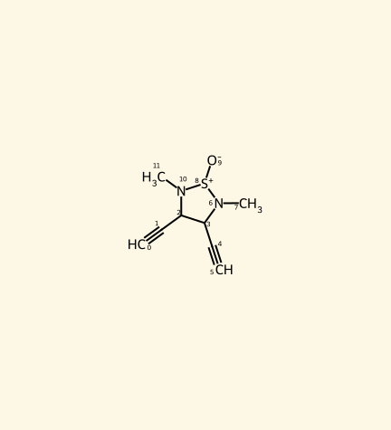 C#CC1C(C#C)N(C)[S+]([O-])N1C